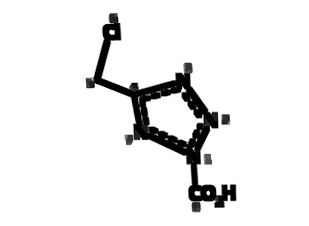 O=C(O)n1nnc(CCl)n1